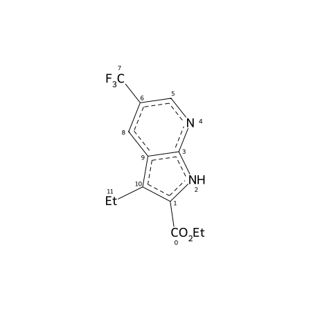 CCOC(=O)c1[nH]c2ncc(C(F)(F)F)cc2c1CC